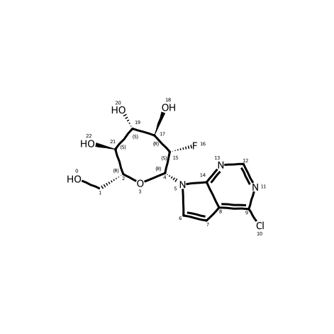 OC[C@H]1O[C@@H](n2ccc3c(Cl)ncnc32)[C@@H](F)[C@H](O)[C@@H](O)[C@@H]1O